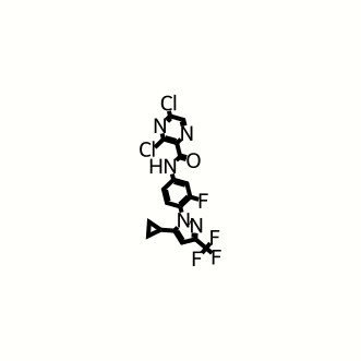 O=C(Nc1ccc(-n2nc(C(F)(F)F)cc2C2CC2)c(F)c1)c1ncc(Cl)nc1Cl